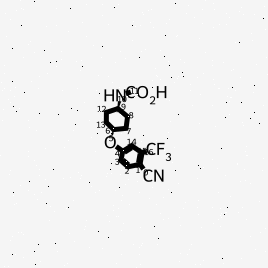 N#Cc1ccc(O[C@H]2CC[C@H](NC(=O)O)CC2)cc1C(F)(F)F